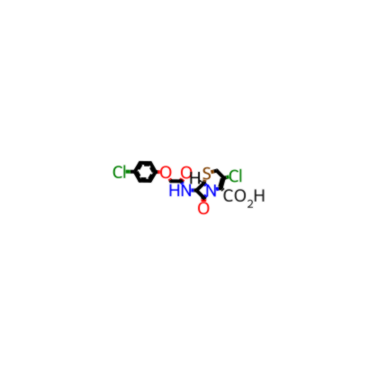 O=C(COc1ccc(Cl)cc1)NC1C(=O)N2C(C(=O)O)=C(Cl)CS[C@H]12